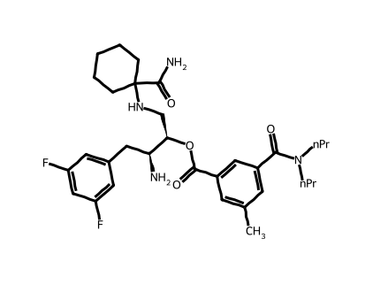 CCCN(CCC)C(=O)c1cc(C)cc(C(=O)O[C@H](CNC2(C(N)=O)CCCCC2)[C@@H](N)Cc2cc(F)cc(F)c2)c1